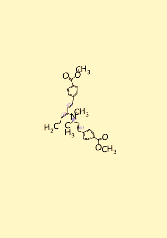 C=C/C=C(/C=C/c1ccc(C(=O)OC)cc1)[N+](\C)=C(C)\C=C\c1ccc(C(=O)OC)cc1